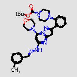 Cc1cccc(C=NNc2cc(N3CCOCC3)n3nc(-c4ccccc4N4CCN(C(=O)OC(C)(C)C)CC4)cc3n2)c1